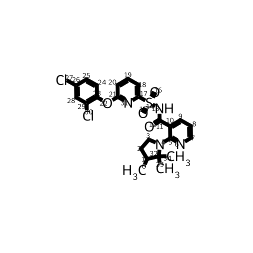 CC1CCN(c2ncccc2C(=O)NS(=O)(=O)c2cccc(Oc3ccc(Cl)cc3Cl)n2)C1(C)C